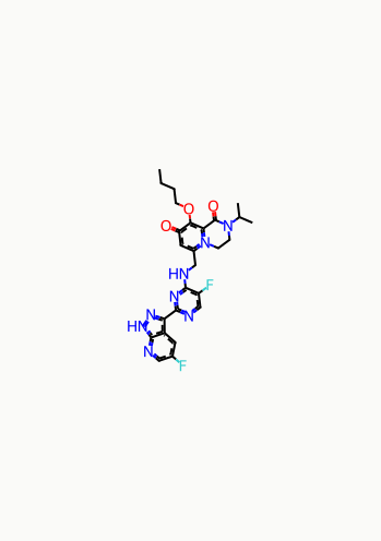 CCCCOc1c2n(c(CNc3nc(-c4n[nH]c5ncc(F)cc45)ncc3F)cc1=O)CCN(C(C)C)C2=O